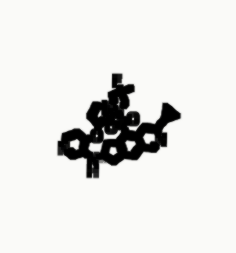 Cn1ccc(Oc2ccncc2N[C@@H]2Cc3cc4cnc(C5CC5)cc4c(S(=O)(=O)NCC(C)(C)F)c3C2)n1